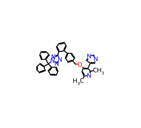 Cc1cc(OCc2ccc(-c3ccccc3-c3nnn(C(c4ccccc4)(c4ccccc4)c4ccccc4)n3)cc2)c(-c2cncnc2)c(C)n1